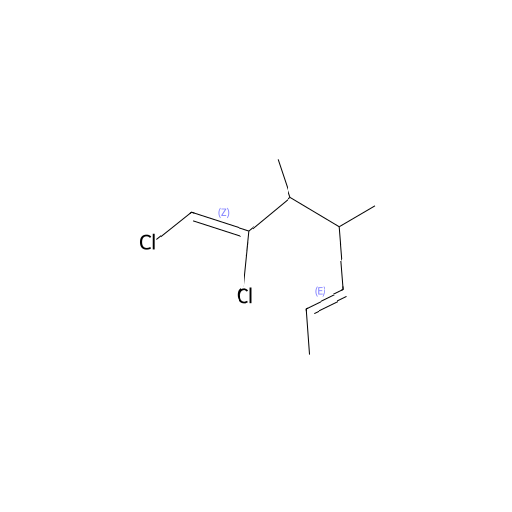 C/C=C/C(C)C(C)/C(Cl)=C/Cl